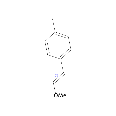 CO/C=C/c1ccc(C)cc1